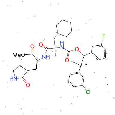 COC(=O)[C@H](C[C@@H]1CCNC1=O)NC(=O)[C@@](C)(CC1CCCCC1)NC(=O)OC(c1cccc(F)c1)C(C)(C)c1cccc(Cl)c1